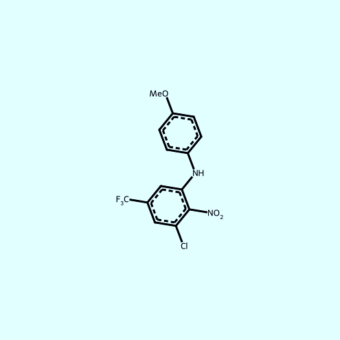 COc1ccc(Nc2cc(C(F)(F)F)cc(Cl)c2[N+](=O)[O-])cc1